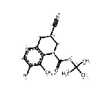 Cc1c(Br)cnc2c1N(C(=O)OC(C)(C)C)CC(C#N)C2